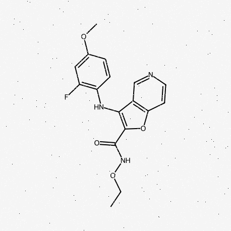 CCONC(=O)c1oc2ccncc2c1Nc1ccc(OC)cc1F